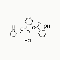 Cl.O=C(Oc1ccccc1C(=O)OCC1CCCN1)c1ccccc1O